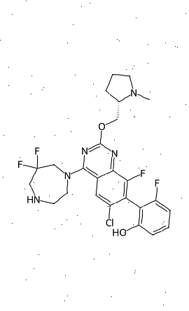 CN1CCC[C@H]1COc1nc(N2CCNCC(F)(F)C2)c2cc(Cl)c(-c3c(O)cccc3F)c(F)c2n1